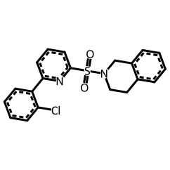 O=S(=O)(c1cccc(-c2ccccc2Cl)n1)N1CCc2ccccc2C1